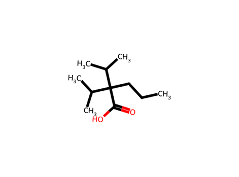 CCCC(C(=O)O)(C(C)C)C(C)C